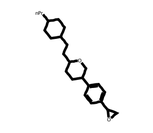 CCCC1CCC(CCC2CCC(c3ccc(C4CO4)cc3)CO2)CC1